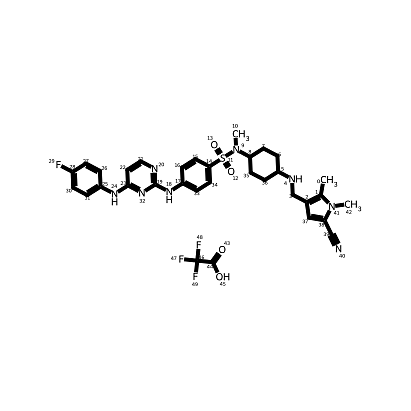 Cc1c(CNC2CCC(N(C)S(=O)(=O)c3ccc(Nc4nccc(Nc5ccc(F)cc5)n4)cc3)CC2)cc(C#N)n1C.O=C(O)C(F)(F)F